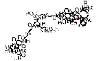 CC[C@]1(O)C[C@H]2CN(CCc3c([nH]c4ccccc34)[C@@](C(=O)OC)(c3cc4c(cc3OC)N(C)[C@H]3[C@@](O)(C(=O)NNC(=O)OCCSSC[C@H](NC(=O)[C@H](CNC(=O)CCSSCCNC5=C(C)C(=O)C6=C(C5=O)[C@@H](COC(N)=O)[C@@]5(OC)[C@H]7N[C@H]7CN65)NC(=O)[C@H](CC(=O)O)NC)C(=O)O)[C@H](O)[C@]5(CC)C=CCN6CC[C@]43[C@@H]65)C2)C1